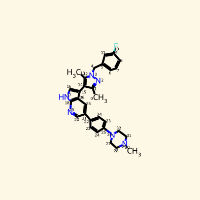 Cc1nn(Cc2cccc(F)c2)c(C)c1-c1c[nH]c2ncc(-c3ccc(N4CCN(C)CC4)cc3)cc12